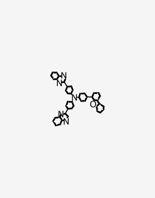 c1ccc2nc(-c3ccc(N(c4ccc(-c5cnc6ccccc6n5)cc4)c4ccc(-c5cccc6c5oc5ccccc56)cc4)cc3)cnc2c1